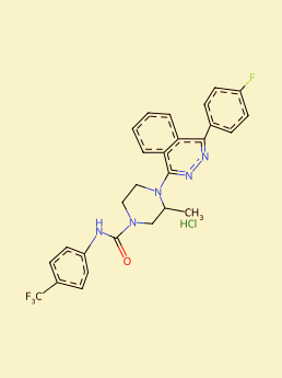 CC1CN(C(=O)Nc2ccc(C(F)(F)F)cc2)CCN1c1nnc(-c2ccc(F)cc2)c2ccccc12.Cl